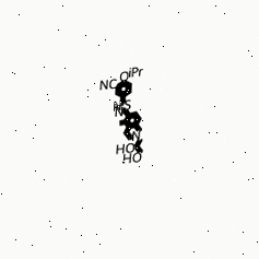 Cc1c(-c2nnc(-c3ccc(OC(C)C)c(C#N)c3)s2)ccc2c1CCN(CC(O)CO)C2